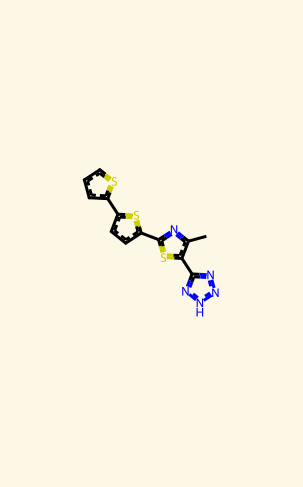 Cc1nc(-c2ccc(-c3cccs3)s2)sc1-c1nn[nH]n1